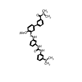 COc1ccc(-c2cccc(C(=O)N(C)C)c2)cc1SNc1cccc(NC(=O)Nc2cccc(N(C)C)c2)c1